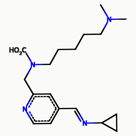 CN(C)CCCCCN(Cc1cc(C=NC2CC2)ccn1)C(=O)O